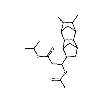 CC(=O)OC(CC(=O)OC(C)C)C1CC2CC1C1C3CC(C(C)C3C)C21